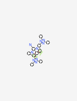 N#Cc1cc(-n2c3ccccc3c3cc(-c4nc(-c5ccccc5)nc(-c5ccccc5)n4)ccc32)c(-c2cc(C(F)(F)F)cc(C(F)(F)F)c2)c(-n2c3ccccc3c3cc(-c4nc(-c5ccccc5)nc(-c5ccccc5)n4)ccc32)c1